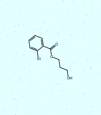 CCc1ccccc1C(=O)OCCCO